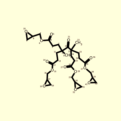 CC(CCC(=O)OCC1CO1)(CCC(=O)OCC1CO1)C(=O)C(C)(CCC(=O)OCC1CO1)CCC(=O)OCC1CO1